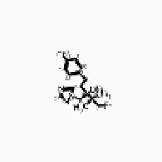 CC(C)(CF)C(O)(CCc1ccc(Cl)cc1)Cn1cncn1